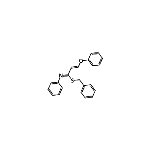 C(=CC(=Nc1ccccc1)SCc1ccccc1)Oc1ccccc1